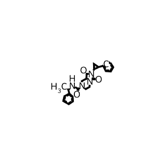 C[C@@H](NC(=O)N1CCN2C(=O)N(C3CC3c3ccccc3)C(=O)C2C1)c1ccccc1